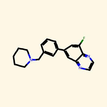 Fc1cc(-c2cccc(CN3CCCCC3)c2)cc2nccnc12